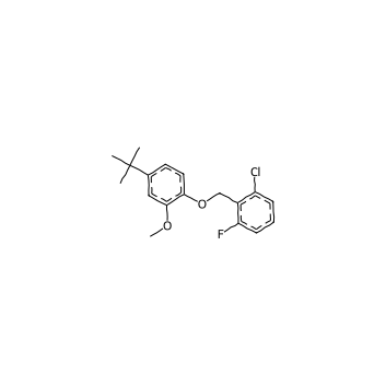 COc1cc(C(C)(C)C)ccc1OCc1c(F)cccc1Cl